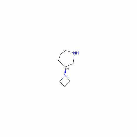 C1CNC[C@@H](N2CCC2)C1